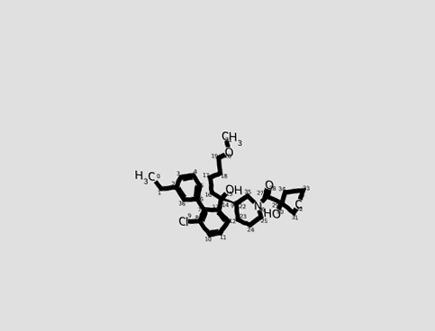 CCc1cccc(-c2c(Cl)cccc2C(O)(CCCCOC)[C@@H]2CCCN(C(=O)C3(O)CCCC3)C2)c1